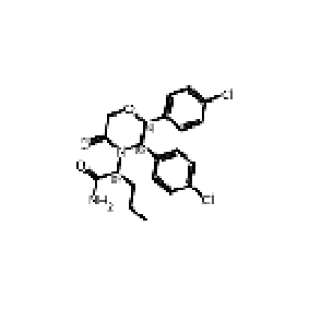 CCC[C@@H](C(N)=O)N1C(=O)CO[C@@H](c2ccc(Cl)cc2)[C@H]1c1ccc(Cl)cc1